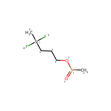 CS(=O)OCCC[Si](C)(F)F